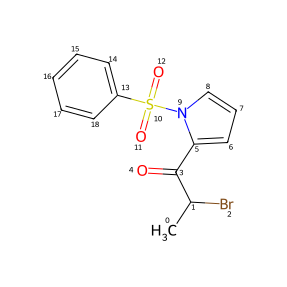 CC(Br)C(=O)c1cccn1S(=O)(=O)c1ccccc1